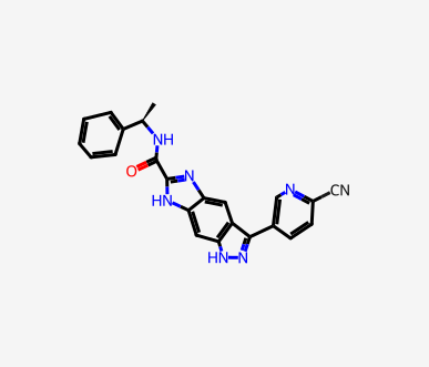 C[C@@H](NC(=O)c1nc2cc3c(-c4ccc(C#N)nc4)n[nH]c3cc2[nH]1)c1ccccc1